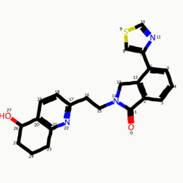 O=C1c2cccc(-c3cscn3)c2CN1CCc1ccc2c(n1)CCCC2O